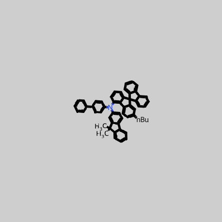 CCCCc1ccc2c(c1)C1(c3ccccc3-c3ccccc31)c1cccc(N(c3ccc(-c4ccccc4)cc3)c3ccc4c(c3)C(C)(C)c3ccccc3-4)c1-2